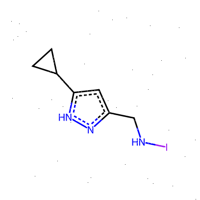 INCc1cc(C2CC2)[nH]n1